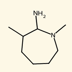 CC1CCCCN(C)C1N